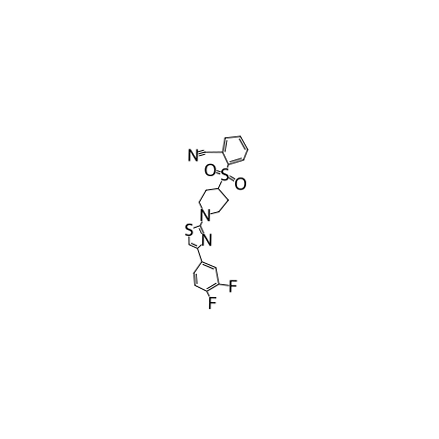 N#Cc1ccccc1S(=O)(=O)C1CCN(c2nc(-c3ccc(F)c(F)c3)cs2)CC1